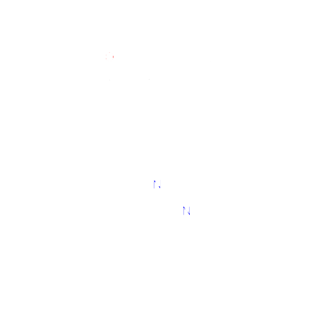 c1ccc(-c2ccc(-c3nc(-c4ccccc4)cc(-c4ccc5c(c4)-c4ccccc4C54c5ccccc5Oc5ccccc54)n3)cc2)cc1